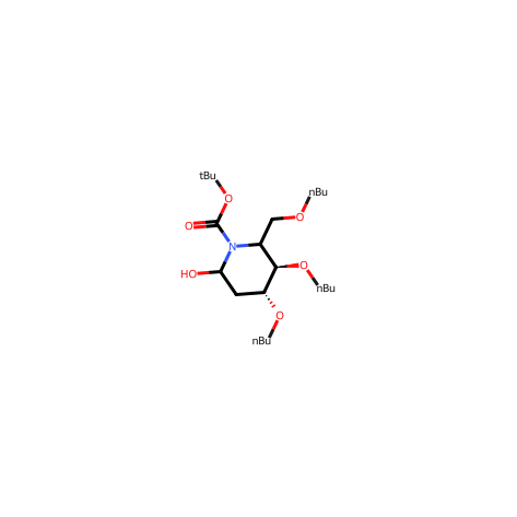 CCCCOCC1[C@@H](OCCCC)[C@H](OCCCC)CC(O)N1C(=O)OC(C)(C)C